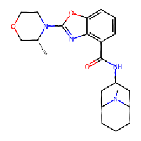 C[C@@H]1COCCN1c1nc2c(C(=O)NC3CC4CCCC(C3)N4C)cccc2o1